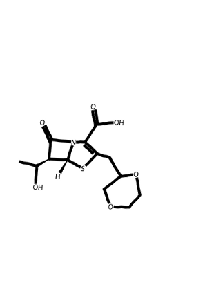 CC(O)[C@H]1C(=O)N2C(C(=O)O)=C(CC3COCCO3)S[C@H]12